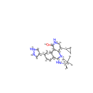 C[C@@H](Nc1nc2c(C3CC3)c[nH]c(=O)c2c2cc(-c3cn[nH]c3)ccc12)C(C)(C)C